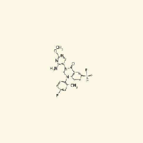 COc1ncc(N2CN(c3ccc(F)cc3C)c3ccc(C(F)(F)F)cc3C2=O)c(N)n1